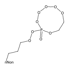 CCCCCCCCCCCCOOP1(=O)OCCOOOOO1